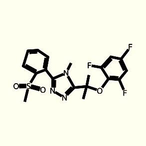 Cn1c(-c2ccccc2S(C)(=O)=O)nnc1C(C)(C)Oc1c(F)cc(F)cc1F